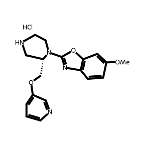 COc1ccc2nc(N3CCNC[C@H]3COc3cccnc3)oc2c1.Cl